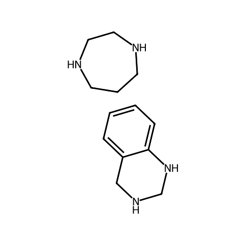 C1CNCCNC1.c1ccc2c(c1)CNCN2